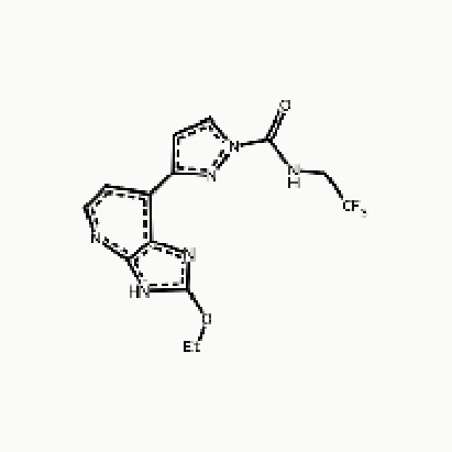 CCOc1nc2c(-c3ccn(C(=O)NCC(F)(F)F)n3)ccnc2[nH]1